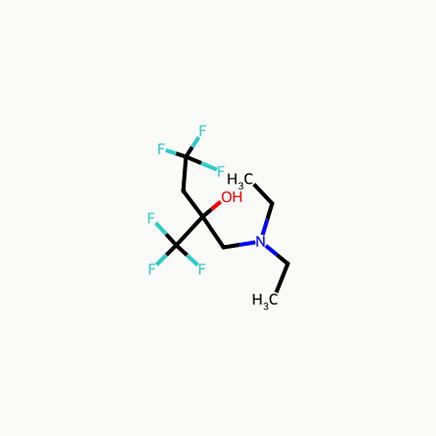 CCN(CC)CC(O)(CC(F)(F)F)C(F)(F)F